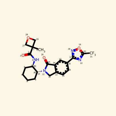 CC1(C(=O)N[C@@H]2CCCC[C@H]2N2Cc3ccc(-c4noc(C(F)(F)F)n4)cc3C2=O)COC1